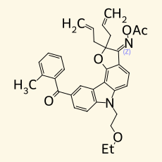 C=CCC1(CC=C)Oc2c(ccc3c2c2cc(C(=O)c4ccccc4C)ccc2n3CCOCC)/C1=N/OC(C)=O